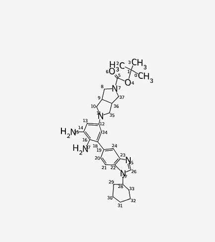 CC(C)(C)OC(=O)N1CC2CN(c3cc(N)c(N)c(-c4ccc5c(c4)ncn5C4CCCCC4)c3)CC2C1